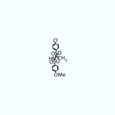 COc1ccc(S(=O)(=O)NN(C)S(=O)(=O)c2ccc(Cl)cc2)cc1